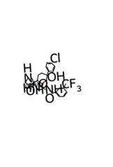 O=C(CNC(=O)c1cccc(C(F)(F)F)c1)N[C@@]1(C2CCC(O)(c3ccc(Cl)cc3)CC2)CNC[C@@H]1O